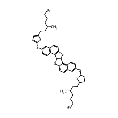 CC(C)CCCC(C)CCc1ccc(Sc2ccc3c(ccc4sc5c(sc6ccc7cc(SC8CCC(CCC(C)CCCC(C)C)S8)ccc7c65)c43)c2)s1